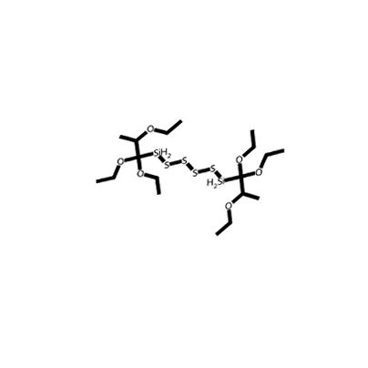 CCOC(C)C(OCC)(OCC)[SiH2]SSSS[SiH2]C(OCC)(OCC)C(C)OCC